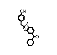 Cn1c(Cc2ccc(C#N)cc2)nc2cc(C(=O)C3CCCCC3)ccc21